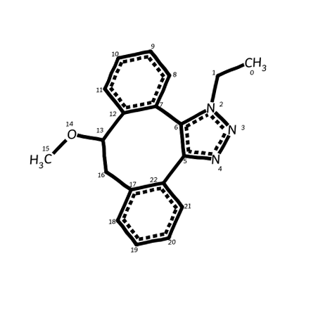 CCn1nnc2c1-c1ccccc1C(OC)Cc1ccccc1-2